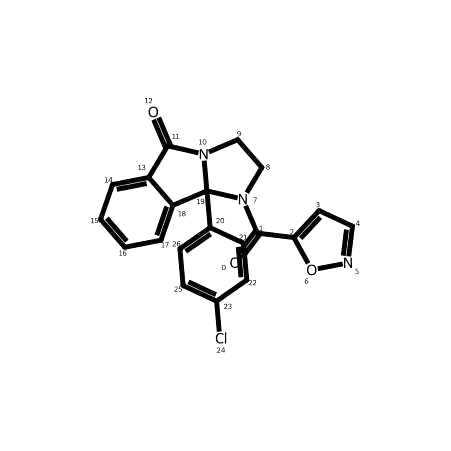 O=C(c1ccno1)N1CCN2C(=O)c3ccccc3C12c1ccc(Cl)cc1